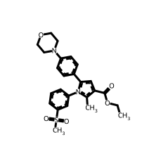 CCOC(=O)c1cc(-c2ccc(N3CCOCC3)cc2)n(-c2cccc(S(C)(=O)=O)c2)c1C